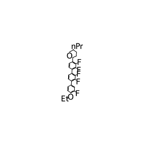 CCCC1CCC(c2ccc(-c3ccc(-c4ccc(OCC)c(F)c4)c(F)c3F)c(F)c2F)OC1